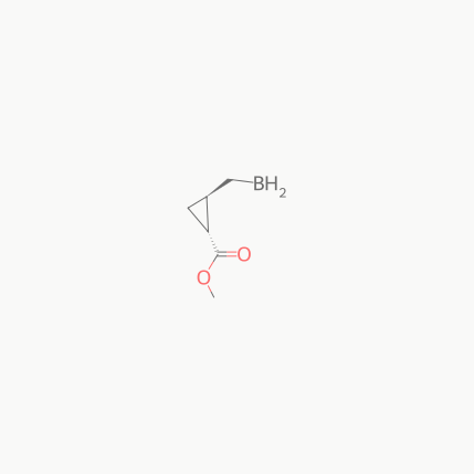 BC[C@@H]1C[C@H]1C(=O)OC